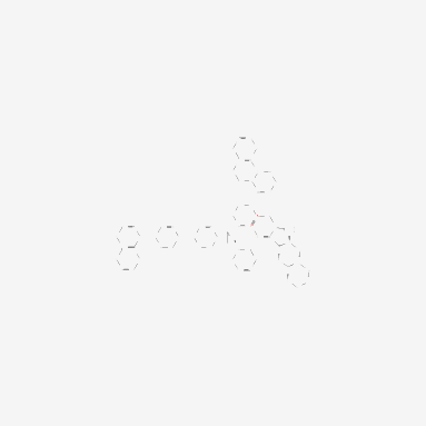 c1ccc(N(c2ccc(-c3ccc(-c4cccc5ccccc45)cc3)cc2)c2ccc(-c3cccc4c3ccc3ccccc34)cc2)c(-c2cccc3oc4cc5ccccc5cc4c23)c1